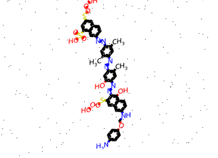 Cc1cc(N=Nc2cc(O)c(N=Nc3c(SOOO)cc4cc(NCOc5ccc(N)cc5)ccc4c3O)cc2C)c(C)cc1N=Nc1ccc2cc(SOOO)cc(S(=O)(=O)O)c2c1